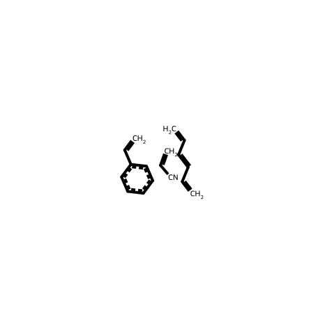 C=CC#N.C=CC=CC=C.C=Cc1ccccc1